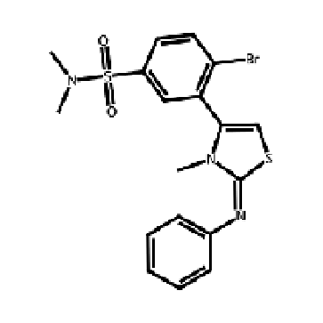 CN(C)S(=O)(=O)c1ccc(Br)c(-c2csc(=Nc3ccccc3)n2C)c1